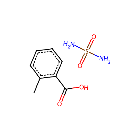 Cc1ccccc1C(=O)O.NS(N)(=O)=O